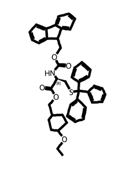 CCOC1CCC(COC(=O)[C@H](CSC(c2ccccc2)(c2ccccc2)c2ccccc2)NC(=O)OCC2c3ccccc3-c3ccccc32)CC1